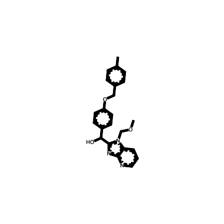 COCn1c(C(O)c2ccc(OCc3ccc(C)cc3)cc2)nc2ncccc21